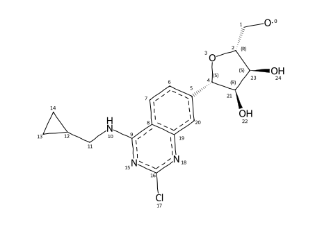 [O]C[C@H]1O[C@@H](c2ccc3c(NCC4CC4)nc(Cl)nc3c2)[C@H](O)[C@@H]1O